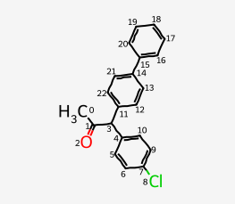 CC(=O)C(c1ccc(Cl)cc1)c1ccc(-c2ccccc2)cc1